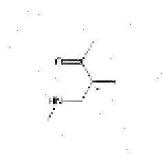 CNC[C@H](C)C(C)=O